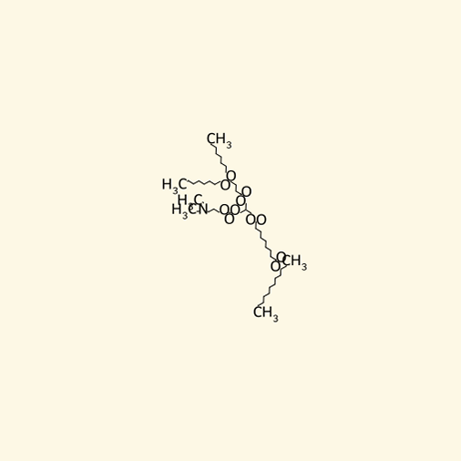 CCCCCCCCCC(CC)OC(=O)CCCCCCCC(=O)OCC(COC(=O)CCC(OCCCCCCCC)OCCCCCCCC)COC(=O)OCCCN(CC)CC